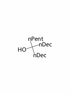 CCCCCCCCCCC(O)(CCCCC)CCCCCCCCCC